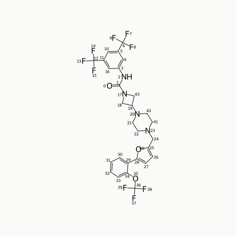 O=C(Nc1cc(C(F)(F)F)cc(C(F)(F)F)c1)N1CC(N2CCN(Cc3ccc(-c4ccccc4OC(F)(F)F)o3)CC2)C1